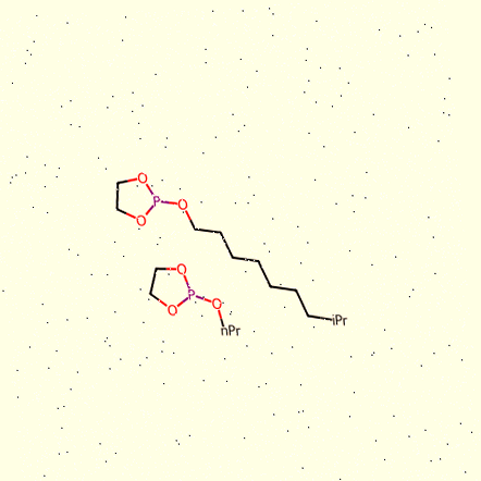 CC(C)CCCCCCCOP1OCCO1.CCCOP1OCCO1